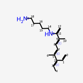 C=CC(=C\C)/C(C)=C/C=C(\C)C(=C)NCCCCCN